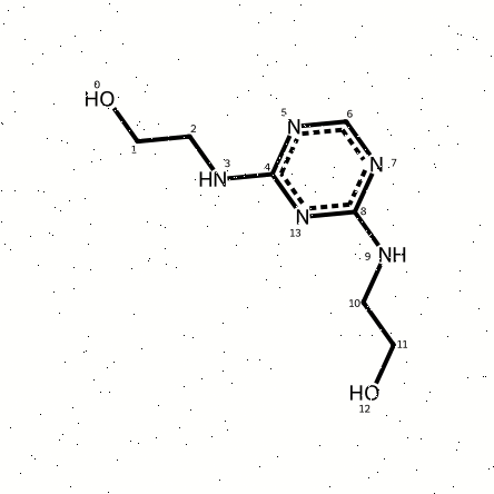 OCCNc1ncnc(NCCO)n1